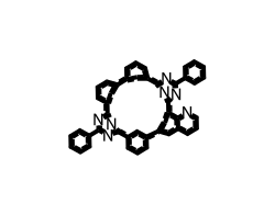 c1ccc(-c2nc3nc(n2)c2cccc(c2)c2cc4cccnc4c(c2)c2nc(-c4ccccc4)nc(n2)c2cccc(c2)c2cccc3c2)cc1